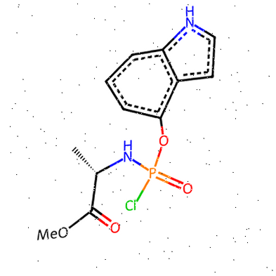 COC(=O)[C@H](C)NP(=O)(Cl)Oc1cccc2[nH]ccc12